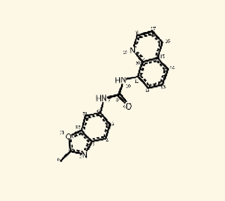 Cc1nc2ccc(NC(=O)Nc3cccc4cccnc34)cc2o1